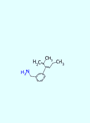 C=C(C)/C(=C\CC)c1cccc(CN)c1